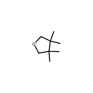 CC1(C)COCC1(C)C